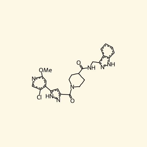 COc1cc(-c2cc(C(=O)N3CCC(C(=O)NCc4n[nH]c5ccccc45)CC3)n[nH]2)c(Cl)cn1